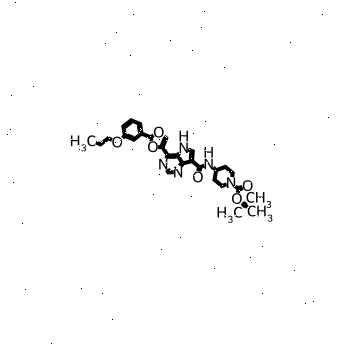 CCCOc1cccc(C2OC=C(c3ncnc4c(C(=O)NC5CCN(C(=O)OC(C)(C)C)CC5)c[nH]c34)O2)c1